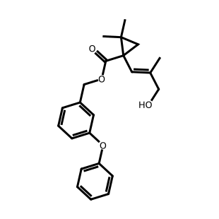 C/C(=C\C1(C(=O)OCc2cccc(Oc3ccccc3)c2)CC1(C)C)CO